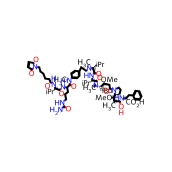 CC[C@H](C)[C@@H]([C@@H](CC(=O)N1CCC[C@H]1[C@H](OC)[C@@H](C)C(O)N[C@@H](Cc1ccccc1)C(=O)O)OC)N(C)C(=O)[C@@H](NC(=O)[C@H](C(C)C)N(C)CCc1ccc(N(C)C(=O)C(CCCNC(N)=O)NC(=O)[C@@H](NC(=O)CCCCCN2C(=O)C=CC2=O)C(C)C)cc1)C(C)C